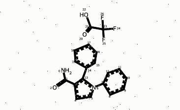 NC(=O)c1ccn(-c2ccccc2)c1-c1ccccc1.O=C(O)C(F)(F)F